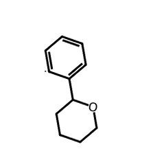 [c]1ccccc1C1CCCCO1